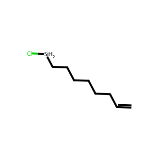 C=CCCCCCC[SiH2]Cl